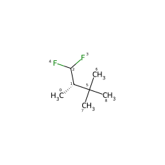 C[C@H](C(F)F)C(C)(C)C